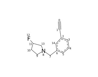 C#Cc1cccc(CN2CCC(F)C2)c1